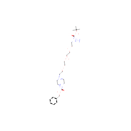 CC(C)(C)OC(=O)NCCOCCOCCOCCN1CCN(C(=O)OCc2ccccc2)CC1